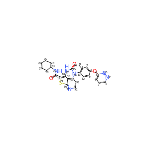 Cc1cc(Oc2cccnn2)ccc1N1C(=O)Nc2c(C(=O)NC3CCCCC3)sc3nccc1c23